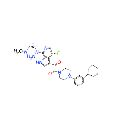 C=N/C=C\N(N)c1ncc(F)c2c(C(=O)C(=O)N3CCN(c4cccc(C5CCCCC5)c4)CC3)c[nH]c12